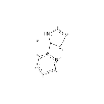 CC1(c2c[c]ccn2)NC=CS1